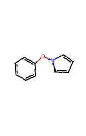 c1ccc(On2cccc2)cc1